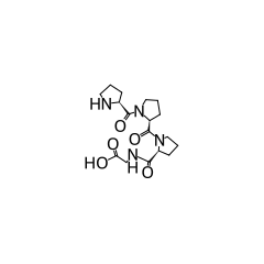 O=C(O)CNC(=O)[C@@H]1CCCN1C(=O)[C@@H]1CCCN1C(=O)[C@@H]1CCCN1